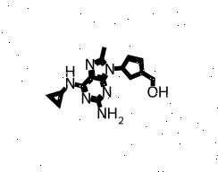 Cc1nc2c(NC3CC3)nc(N)nc2n1C1C=CC(CO)C1